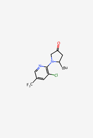 CC(C)(C)C1CC(=O)CN1c1ncc(C(F)(F)F)cc1Cl